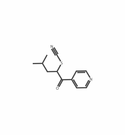 CC(C)CC(SC#N)C(=O)c1ccncc1